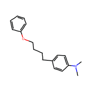 CN(C)c1ccc([CH]CCCOc2ccccc2)cc1